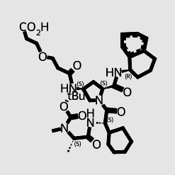 C[C@@H](C(=O)N[C@H](C(=O)N1C[C@@H](NC(=O)CCOCCC(=O)O)C[C@H]1C(=O)N[C@@H]1CCCc2ccccc21)C1CCCCC1)N(C)C(=O)OC(C)(C)C